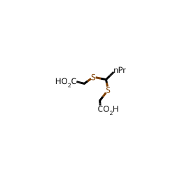 CCCC(SCC(=O)O)SCC(=O)O